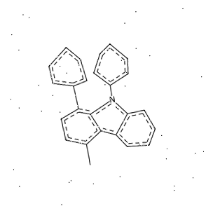 Cc1ccc(-c2ccccc2)c2c1c1ccccc1n2-c1ccccc1